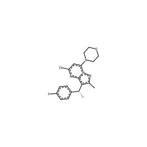 Cc1nn2c(N3CCOCC3)cc(Cl)nc2c1[C@H](C)c1ccc(F)cc1